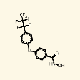 O=C(NO)c1ccc(Oc2ccc(C(F)(F)C(F)(F)C(F)(F)F)cc2)cc1